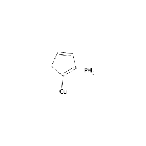 P.[Cu][C]1=CC=CC1